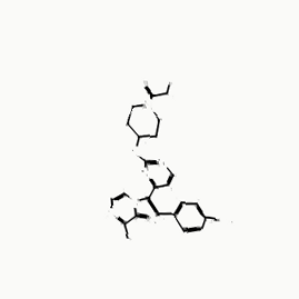 Cc1nccn2c(-c3ccnc(NC4CCN(C(=O)CO)CC4)n3)c(-c3ccc(F)cc3)nc12